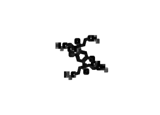 CCCP(=O)(CCC)c1cc(OC)c(P(=O)(CCC)CCC)cc1OC